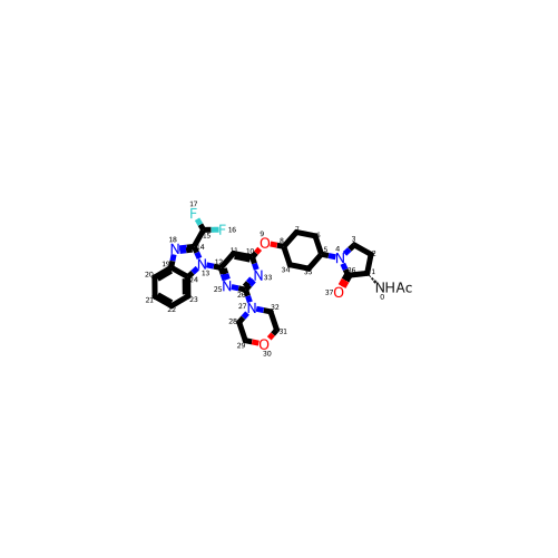 CC(=O)N[C@H]1CCN(C2CCC(Oc3cc(-n4c(C(F)F)nc5ccccc54)nc(N4CCOCC4)n3)CC2)C1=O